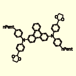 CCCCCc1ccc(N(c2ccc(C3OCCO3)cc2)c2ccc3c4ccc(N(c5ccc(CCCCC)cc5)c5ccc(C6OCCO6)cc5)cc4c4ccccc4c3c2)cc1